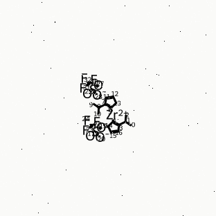 CC(C)C1=[C]([Zr+2][C]2=C(C(C)C)C=CC2)CC=C1.O=S(=O)([O-])C(F)(F)F.O=S(=O)([O-])C(F)(F)F